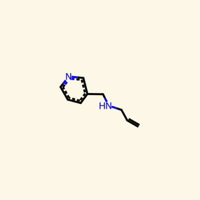 C=CCNCc1cccnc1